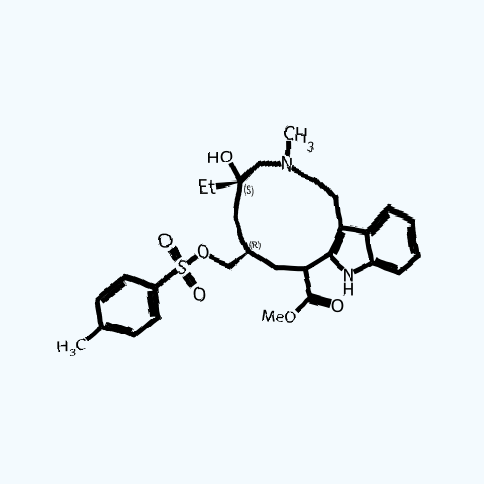 CC[C@]1(O)C[C@H](COS(=O)(=O)c2ccc(C)cc2)CC(C(=O)OC)c2[nH]c3ccccc3c2CCN(C)C1